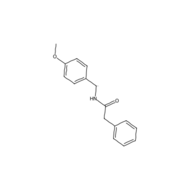 COc1ccc([CH]NC(=O)Cc2ccccc2)cc1